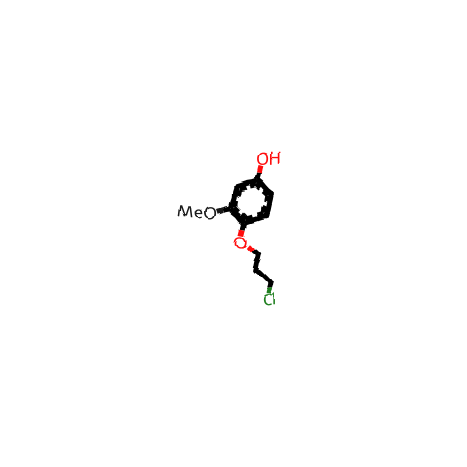 COc1cc(O)ccc1OCCCCl